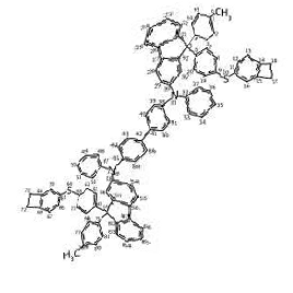 CC1=CCC(C2(c3ccc(Sc4ccc5c(c4)CC5)cc3)c3ccccc3-c3ccc(N(c4ccccc4)c4ccc(-c5ccc(N(c6ccccc6)c6ccc7c(c6)C(C6=CCC(Sc8ccc9c(c8)CC9)C=C6)(c6ccc(C)cc6)c6ccccc6-7)cc5)cc4)cc32)C=C1